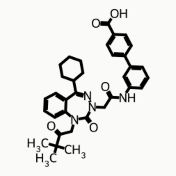 CC(C)(C)C(=O)CN1C(=O)N(CC(=O)Nc2cccc(-c3ccc(C(=O)O)cc3)c2)N=C(C2CCCCC2)c2ccccc21